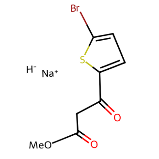 COC(=O)CC(=O)c1ccc(Br)s1.[H-].[Na+]